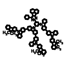 CC1(C)c2ccccc2-c2ccc(-n3c4ccccc4c4cc(-c5ccc6c(c5)c5ccccc5n6-c5cc(-c6nc(-c7ccccc7)c7c(n6)-c6cccc8cccc-7c68)cc(-n6c7ccc(-c8ccc9c(c8)c8ccccc8n9-c8ccc9c(c8)C(C)(C)c8ccccc8-9)cc7c7cc(-c8ccc9c(c8)c8ccccc8n9-c8ccc9c(c8)C(C)(C)c8ccccc8-9)ccc76)c5)ccc43)cc21